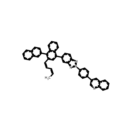 C/C=C\C=C/c1cc(-c2ccc3nn(-c4ccc(-c5cnc6ccccc6c5)cc4)nc3c2)c2ccccc2c1-c1ccc2ccccc2c1